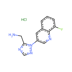 Cl.NCc1ncnn1-c1cnc2c(F)cccc2c1